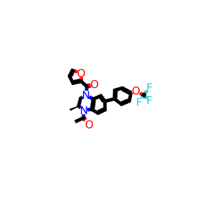 CC(=O)N1c2ccc(-c3ccc(OC(F)(F)F)cc3)cc2N(C(=O)c2ccco2)C[C@@H]1C